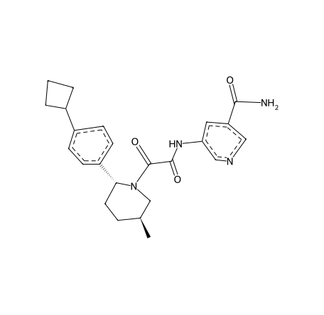 C[C@H]1CC[C@H](c2ccc(C3CCC3)cc2)N(C(=O)C(=O)Nc2cncc(C(N)=O)c2)C1